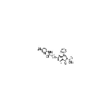 Cc1cc(N2CC(C(=O)Nc3ccc(N(C)C)cn3)C2)nc2c1c(=O)c(C(=O)O)cn2-c1nccs1